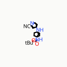 CC(C)(C)OC(=O)NC12CCC(Nc3ccnc(C#N)c3)(CC1)C2